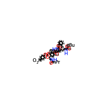 CCCC(=O)NCC(OC(=O)Oc1ccc([N+](=O)[O-])cc1)c1ccc(OC(=O)C(CCCCNC(=O)OC(C)(C)C)NC(=O)OCc2ccccc2)c(OC)c1